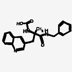 CC(Cc1cnc2ccccc2c1)(NC(=O)O)C(=O)NCc1ccccc1